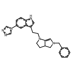 C1=C2C(CCN2CCc2c[nH]c3ccc(-n4cnnc4)cc23)CN1Cc1ccccc1